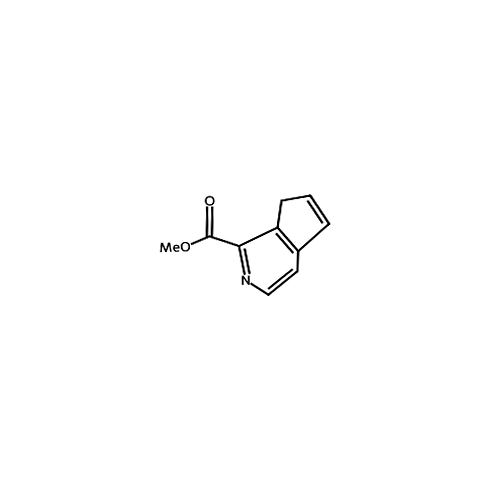 COC(=O)c1nccc2c1CC=C2